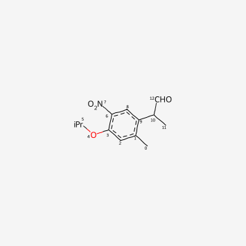 Cc1cc(OC(C)C)c([N+](=O)[O-])cc1C(C)C=O